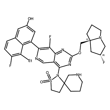 CCc1c(F)ccc2cc(O)cc(-c3ncc4c(N5C6(CCCNC6)CCS5(=O)=O)nc(OC[C@@]56CCCN5C[C@H](F)C6)nc4c3F)c12